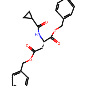 O=C(C[C@H](NC(=O)C1CC1)C(=O)OCc1ccccc1)OCc1ccccc1